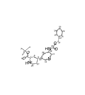 CC(C)(C)OC(=O)C1C=C(c2cncc(NC(=O)OCc3ccccc3)c2)CCN1